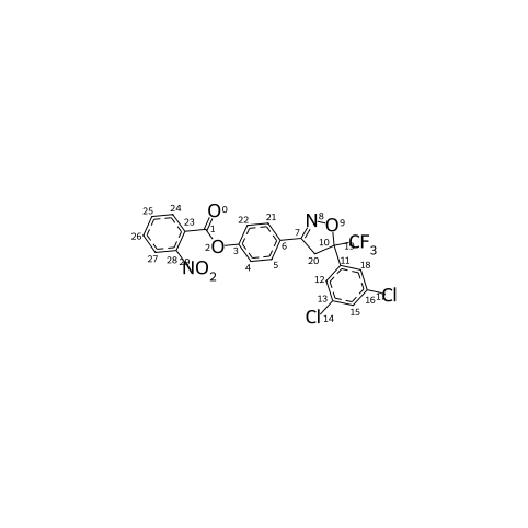 O=C(Oc1ccc(C2=NOC(c3cc(Cl)cc(Cl)c3)(C(F)(F)F)C2)cc1)c1ccccc1[N+](=O)[O-]